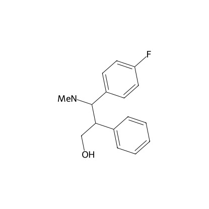 CNC(c1ccc(F)cc1)C(CO)c1ccccc1